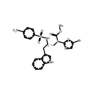 CC(C)(C)OC(=O)N(C[C@H](Cc1c[nH]c2ccccc12)NS(=O)(=O)c1ccc([N+](=O)[O-])cc1)c1ncc(Br)s1